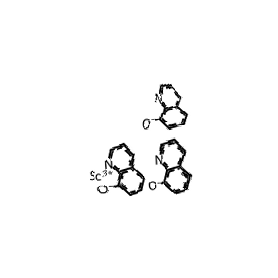 [O-]c1cccc2cccnc12.[O-]c1cccc2cccnc12.[O-]c1cccc2cccnc12.[Sc+3]